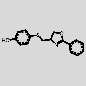 Oc1ccc(SCC2COC(c3ccccc3)=N2)cc1